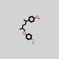 COc1ccc(C(C)CCC(C)COc2ccc(SC)cc2)cc1